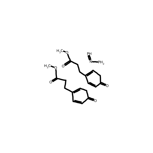 COC(=O)CCC1=CCC(=O)C=C1.COC(=O)CCC1=CCC(=O)C=C1.P=NP